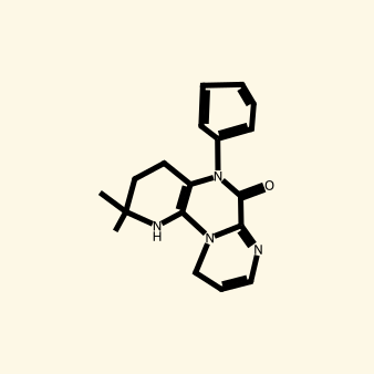 CC1(C)CCC2=C(N1)N1CC=CN=C1C(=O)N2c1ccccc1